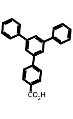 O=C(O)c1ccc(-c2cc(-c3ccccc3)cc(-c3ccccc3)c2)cc1